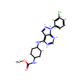 CC(C)(C)OC(=O)NC1CCC(Nc2ncnc3c2cnn3-c2cccc(F)c2)CC1